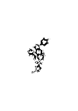 CCn1ncc(S(=O)(=O)N2CC[C@H]3Cc4c(cnn4-c4ccc(F)cc4)C[C@]3(C(=O)c3cscn3)C2)n1